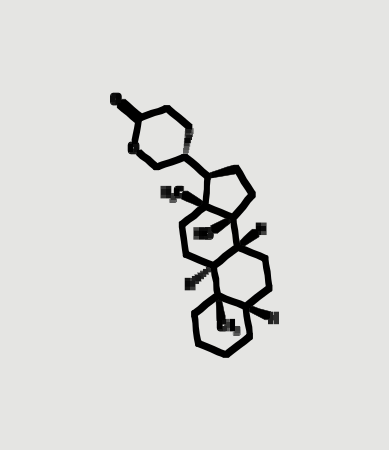 C[C@]12CCCC[C@H]1CC[C@@H]1[C@@H]2CC[C@]2(C)[C@@H]([C@H]3CCC(=O)OC3)CC[C@]12O